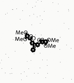 COc1cc(OC)c2cc(-c3ccc4c(c3)c3cc(-c5cc6c(OC)cc(OC)cc6oc5=O)ccc3n4-c3ccccc3)c(=O)oc2c1